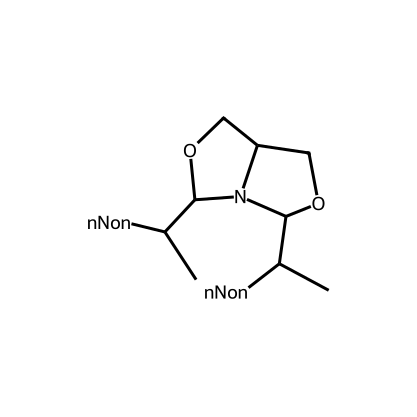 CCCCCCCCCC(C)C1OCC2COC(C(C)CCCCCCCCC)N21